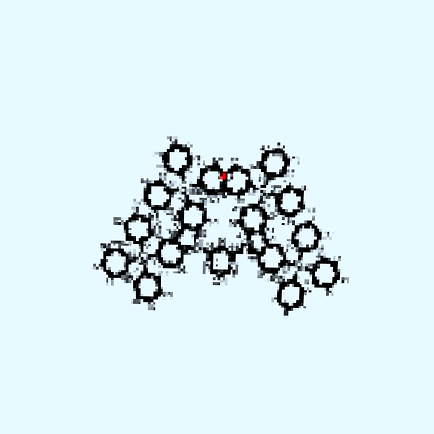 c1ccc([Si](c2ccccc2)(c2ccccc2)c2ccc3c(c2)c2cc([Si](c4ccccc4)(c4ccccc4)c4ccccc4)ccc2n3-c2cc(-n3c4ccc([Si](c5ccccc5)(c5ccccc5)c5ccccc5)cc4c4cc([Si](c5ccccc5)(c5ccccc5)c5ccccc5)ccc43)ncn2)cc1